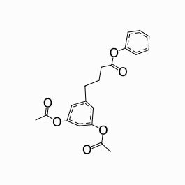 CC(=O)Oc1cc(CCCC(=O)Oc2ccccc2)cc(OC(C)=O)c1